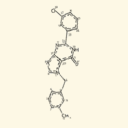 Cc1cccc(Cn2cnc3nc(-c4cccc(Cl)c4)[nH]c(=O)c32)c1